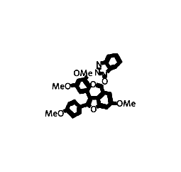 COc1ccc(-c2oc3cc(OC)cc(C(=O)On4nnc5ccccc54)c3c2-c2cc(OC)cc(OC)c2)cc1